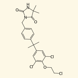 CC1(C)NC(=O)N(Cc2ccc(C(C)(C)c3cc(Cl)c(OCCCl)c(Cl)c3)cc2)C1=O